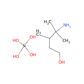 CC(CCO)C(C)(C)N.O[Si](O)(O)O